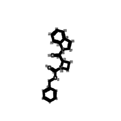 O=C(OCc1ccccc1)N1CCC1C(=O)n1ccc2ccccc21